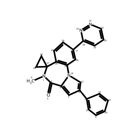 CN1C(=O)c2cc(-c3ccccc3)cn2-c2cc(-c3cccnn3)ccc2C12CC2